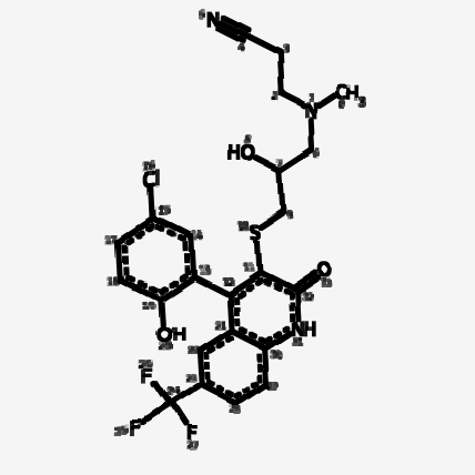 CN(CCC#N)CC(O)CSc1c(-c2cc(Cl)ccc2O)c2cc(C(F)(F)F)ccc2[nH]c1=O